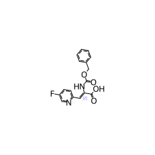 O=C(N/C(=C\c1ccc(F)cn1)C(=O)O)OCc1ccccc1